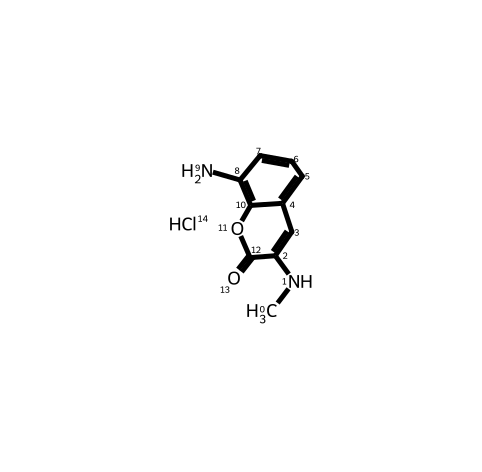 CNc1cc2cccc(N)c2oc1=O.Cl